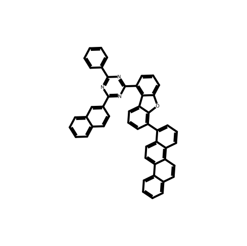 c1ccc(-c2nc(-c3ccc4ccccc4c3)nc(-c3cccc4oc5c(-c6cccc7c6ccc6c8ccccc8ccc76)cccc5c34)n2)cc1